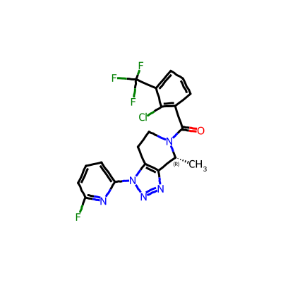 C[C@@H]1c2nnn(-c3cccc(F)n3)c2CCN1C(=O)c1cccc(C(F)(F)F)c1Cl